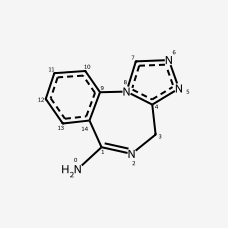 NC1=NCc2nncn2-c2ccccc21